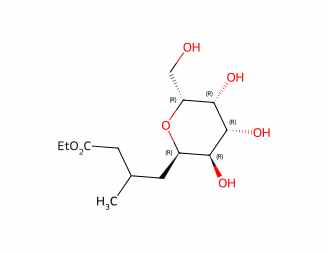 CCOC(=O)CC(C)C[C@H]1O[C@H](CO)[C@H](O)[C@H](O)[C@H]1O